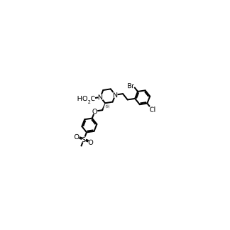 CS(=O)(=O)c1ccc(OC[C@@H]2CN(CCc3cc(Cl)ccc3Br)CCN2C(=O)O)cc1